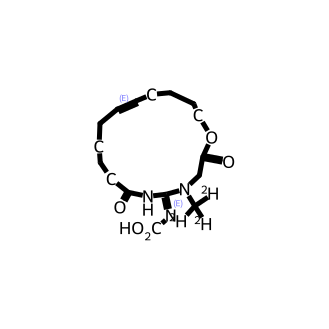 [2H]C([2H])([2H])N1CC(=O)OCCCC/C=C/CCCCC(=O)N/C1=N\C(=O)O